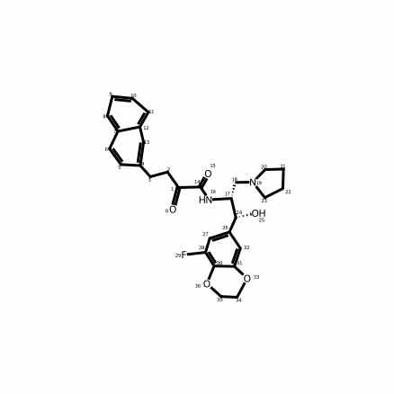 O=C(CCc1ccc2ccccc2c1)C(=O)N[C@H](CN1CCCC1)[C@H](O)c1cc(F)c2c(c1)OCCO2